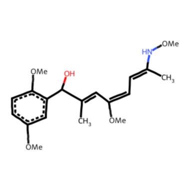 CON/C(C)=C/C=C(\C=C(/C)C(O)c1cc(OC)ccc1OC)OC